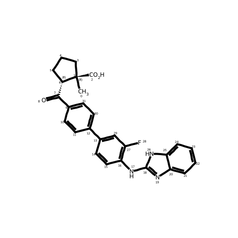 C[C@@]1(C(=O)O)CCC[C@H]1C(=O)c1ccc(-c2ccc(Nc3nc4ccccc4[nH]3)c(F)c2)cc1